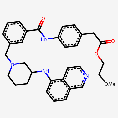 COCCOC(=O)Cc1ccc(NC(=O)c2cccc(CN3CCCC(Nc4cccc5cnccc45)C3)c2)cc1